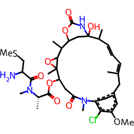 COc1cc2cc(c1Cl)N(C)C(=O)CC(OC(=O)[C@H](C)N(C)C(=O)C(N)CSC)C1(C)OC1C(C)C1CC(O)(NC(=O)O1)C(C)/C=C/C=C(\C)C2